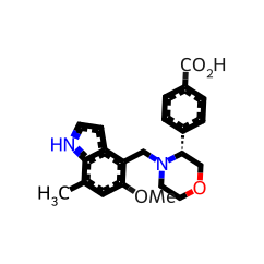 COc1cc(C)c2[nH]ccc2c1CN1CCOC[C@H]1c1ccc(C(=O)O)cc1